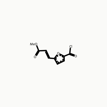 COC(=O)C=Cc1ccc(C(=O)Cl)o1